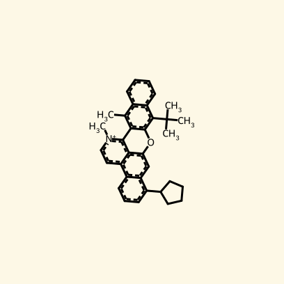 Cc1c2c(c(C(C)(C)C)c3ccccc13)Oc1cc3c(C4CCCC4)cccc3c3cc[n+](C)c-2c13